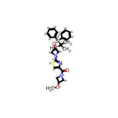 COC1CN(C(=O)c2csc(N3CC(O[Si](c4ccccc4)(c4ccccc4)C(C)(C)C)C3)n2)C1